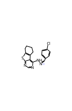 Clc1ccc(/C=N\Nc2ncnc3sc4c(c23)CCCC4)cc1